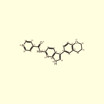 O=C(Nc1ccc2c(-c3ccc4c(c3)CCCO4)c[nH]c2n1)c1ccncc1